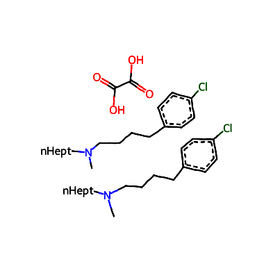 CCCCCCCN(C)CCCCc1ccc(Cl)cc1.CCCCCCCN(C)CCCCc1ccc(Cl)cc1.O=C(O)C(=O)O